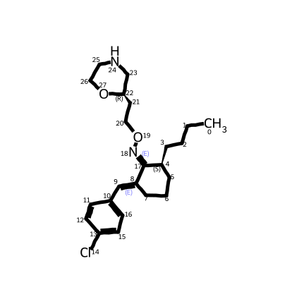 CCCC[C@H]1CCCC(=C\c2ccc(Cl)cc2)/C1=N/OCC[C@@H]1CNCCO1